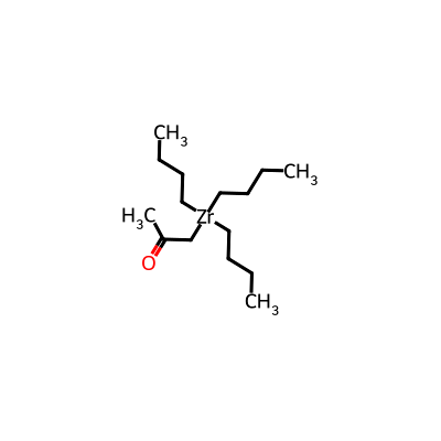 CCC[CH2][Zr]([CH2]CCC)([CH2]CCC)[CH2]C(C)=O